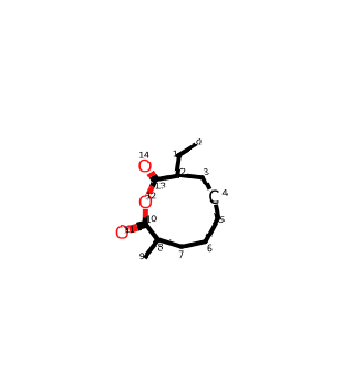 CCC1CCCCCC(C)C(=O)OC1=O